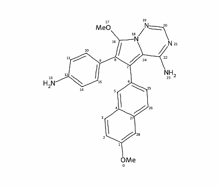 COc1ccc2cc(-c3c(-c4ccc(N)cc4)c(OC)n4ncnc(N)c34)ccc2c1